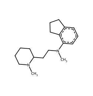 CN(CCC1CCCCN1C)c1cccc2c1CCC2